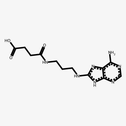 Nc1ncnc2[nH]c(NCCCNC(=O)CCC(=O)O)nc12